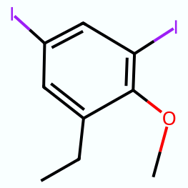 CCc1cc(I)cc(I)c1OC